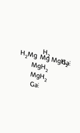 [Ga].[Ga].[MgH2].[MgH2].[MgH2].[MgH2].[MgH2]